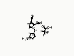 N#Cc1ncn(C[C@H]2CC[C@@H](N)C2)c1C#N.O=C(O)C(F)(F)F